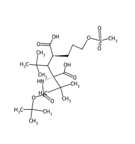 CC(C)(C)OC(=O)N[C@@](C(=O)O)(C([C@H](CCCOS(C)(=O)=O)C(=O)O)C(C)(C)C)C(C)(C)C